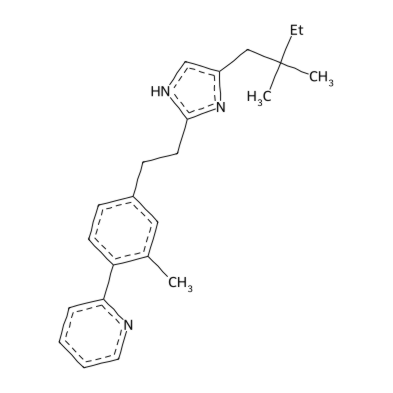 CCC(C)(C)Cc1c[nH]c(CCc2ccc(-c3ccccn3)c(C)c2)n1